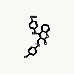 COc1ccc(Nc2c(/C=N/c3ccc(Cl)cc3)c(=O)oc3ccccc23)cc1